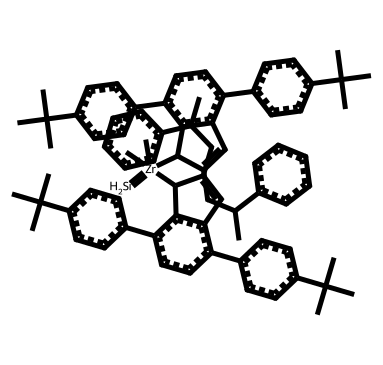 CC(CC1=Cc2c(-c3ccc(C(C)(C)C)cc3)ccc(-c3ccc(C(C)(C)C)cc3)c2[CH]1[Zr]([CH3])([CH3])(=[SiH2])[CH]1C(CC(C)c2ccccc2)=Cc2c(-c3ccc(C(C)(C)C)cc3)ccc(-c3ccc(C(C)(C)C)cc3)c21)c1ccccc1